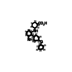 Nc1ncnc(NC2CCC[C@@H](C(=O)O)C2)c1-c1ccc(Oc2ccccc2)cc1